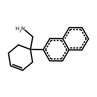 NCC1(c2ccc3ccccc3c2)CC=CCC1